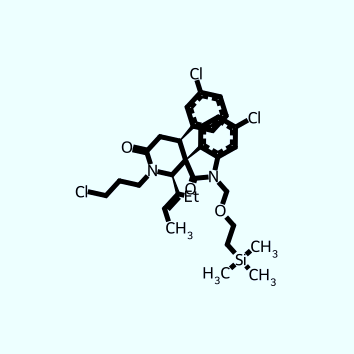 C/C=C(\CC)[C@H]1N(CCCCl)C(=O)C[C@@H](c2cccc(Cl)c2)[C@]12C(=O)N(COCC[Si](C)(C)C)c1cc(Cl)ccc12